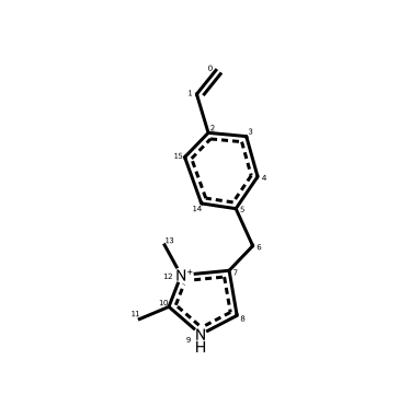 C=Cc1ccc(Cc2c[nH]c(C)[n+]2C)cc1